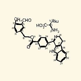 CC[C@H](C)[C@H](N)C(=O)O.O=Cc1cc(COC(=O)c2ccc(C3=NCCc4c3[nH]c3ccccc43)cc2)ccc1O